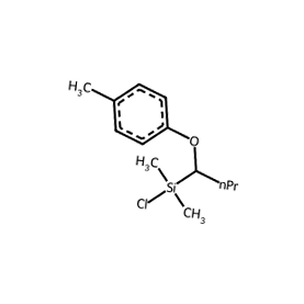 CCCC(Oc1ccc(C)cc1)[Si](C)(C)Cl